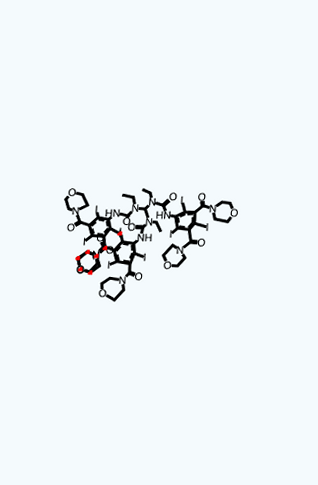 CCN(C(=O)Nc1c(I)c(C(=O)N2CCOCC2)c(I)c(C(=O)N2CCOCC2)c1I)C(N(CC)C(=O)Nc1c(I)c(C(=O)N2CCOCC2)c(I)c(C(=O)N2CCOCC2)c1I)N(CC)C(=O)Nc1c(I)c(C(=O)N2CCOCC2)c(I)c(C(=O)N2CCOCC2)c1I